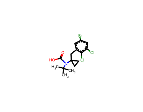 CC(C)(C)N(C(=O)O)C1(Cc2cc(Br)cc(Cl)c2Cl)CC1